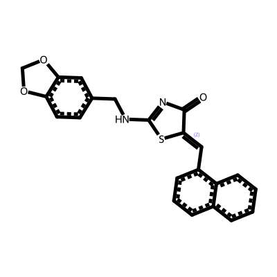 O=C1N=C(NCc2ccc3c(c2)OCO3)S/C1=C\c1cccc2ccccc12